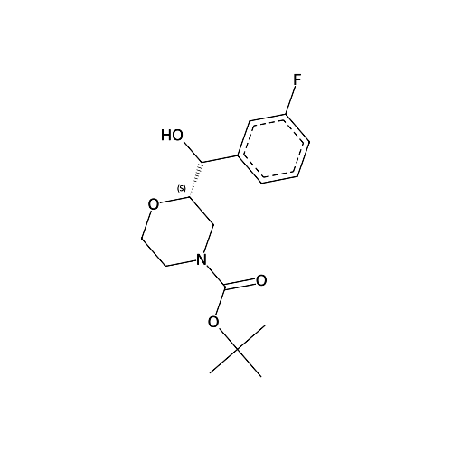 CC(C)(C)OC(=O)N1CCO[C@H](C(O)c2cccc(F)c2)C1